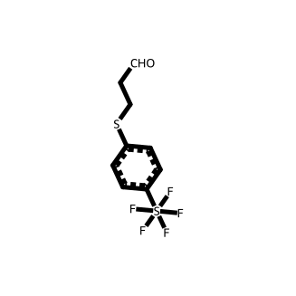 O=CCCSc1ccc(S(F)(F)(F)(F)F)cc1